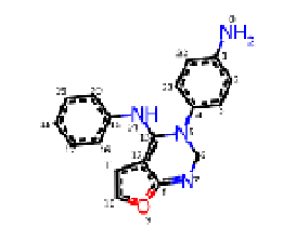 Nc1ccc(N2CN=c3occc3=C2Nc2ccccc2)cc1